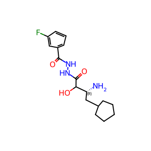 N[C@H](CC1CCCCC1)C(O)C(=O)NNC(=O)c1cccc(F)c1